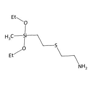 CCO[Si](C)(CCSCCN)OCC